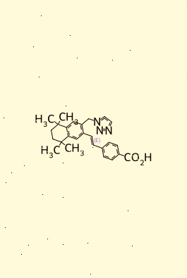 CC1(C)CCC(C)(C)c2cc(Cn3ccnn3)c(/C=C/c3ccc(C(=O)O)cc3)cc21